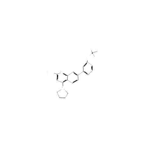 Cc1cc(N2CCCC2)c2ccc(-c3cccc(OC(F)(F)F)c3)cc2n1